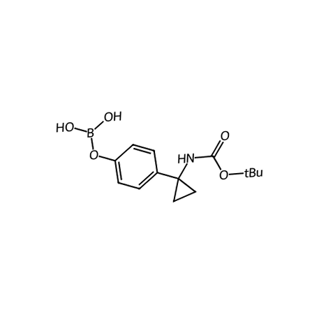 CC(C)(C)OC(=O)NC1(c2ccc(OB(O)O)cc2)CC1